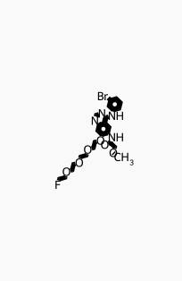 COCC(=O)Nc1cc2c(Nc3cccc(Br)c3)ncnc2cc1OCCOCCOCCOCCF